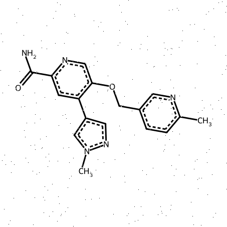 Cc1ccc(COc2cnc(C(N)=O)cc2-c2cnn(C)c2)cn1